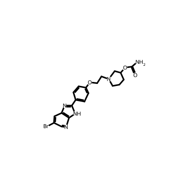 NC(=O)OC1CCCN(CCOc2ccc(-c3nc4cc(Br)cnc4[nH]3)cc2)C1